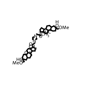 COC[C@@]1(O)CC[C@@]2(C)C(CCC3C2CC[C@@]2(C)C3CC[C@@H]2C(=O)Cn2cc[n+](CC(=O)[C@H]3CCC4C5CCC6C[C@@](O)(COC)CC[C@]6(C)C5CC[C@@]43C)c2)C1